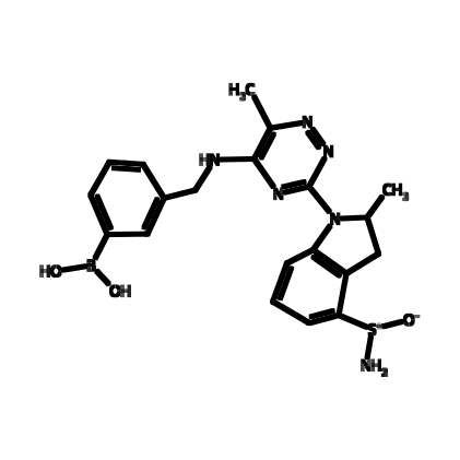 Cc1nnc(N2c3cccc([S+](N)[O-])c3CC2C)nc1NCc1cccc(B(O)O)c1